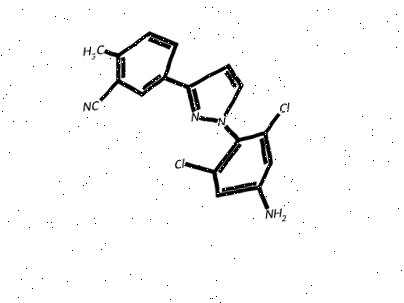 Cc1ccc(-c2ccn(-c3c(Cl)cc(N)cc3Cl)n2)cc1C#N